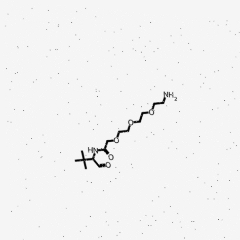 CC(C)(C)C(C=O)NC(=O)COCCOCCOCCN